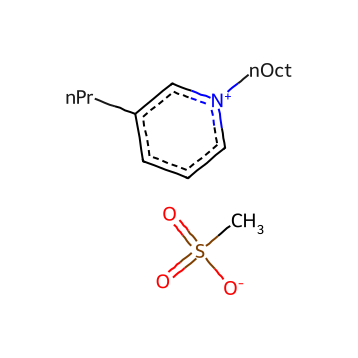 CCCCCCCC[n+]1cccc(CCC)c1.CS(=O)(=O)[O-]